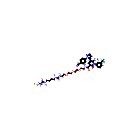 CNC(=O)NCCCCNC(=O)NCCOCCOCCOCCNC(=O)c1cc(-c2ccnn2-c2ccc(C#N)cc2)c(C)n(-c2cccc(C(F)(F)F)c2)c1=O